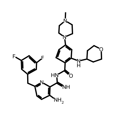 CN1CCN(c2ccc(C(=O)NC(=N)c3nc(Cc4cc(F)cc(F)c4)ccc3N)c(NC3CCOCC3)c2)CC1